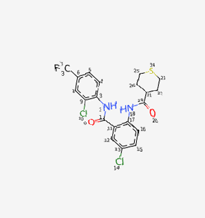 O=C(Nc1ccc(C(F)(F)F)cc1Cl)c1cc(Cl)ccc1NC(=O)C1CCSCC1